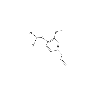 C=CCc1ccc(OC(Cl)Cl)c(OC)c1